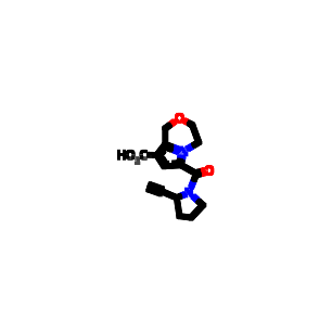 C#CC1CCCN1C(=O)c1cc(C(=O)O)c2n1CCOC2